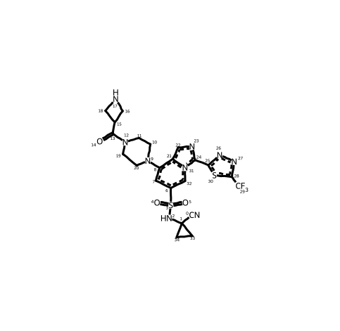 N#CC1(NS(=O)(=O)c2cc(N3CCN(C(=O)C4CNC4)CC3)c3cnc(-c4nnc(C(F)(F)F)s4)n3c2)CC1